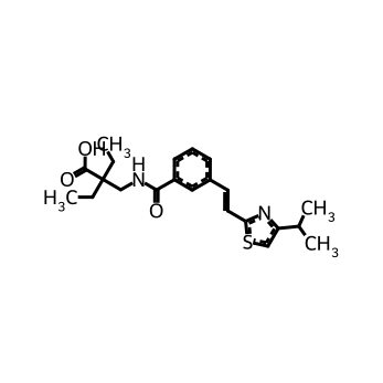 CCC(CC)(CNC(=O)c1cccc(C=Cc2nc(C(C)C)cs2)c1)C(=O)O